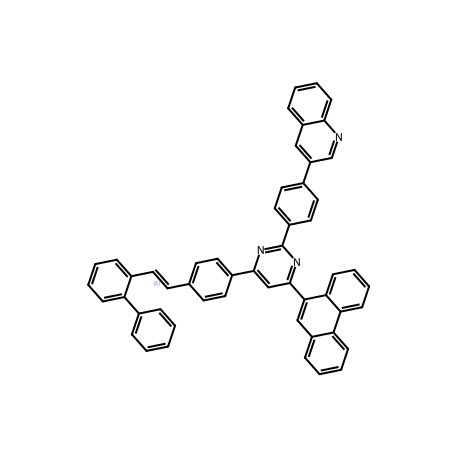 C(=C\c1ccccc1-c1ccccc1)/c1ccc(-c2cc(-c3cc4ccccc4c4ccccc34)nc(-c3ccc(-c4cnc5ccccc5c4)cc3)n2)cc1